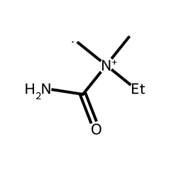 [CH2][N+](C)(CC)C(N)=O